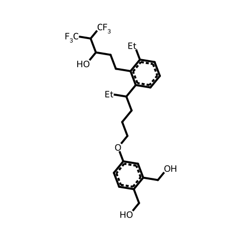 CCc1cccc(C(CC)CCCOc2ccc(CO)c(CO)c2)c1CCC(O)C(C(F)(F)F)C(F)(F)F